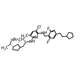 CCCCC(C)[C@H]1CCC(CCNc2nc(NCc3c(F)cc(CCC4CCCC4)cc3F)c(Cl)cc2C)[C@H]1C